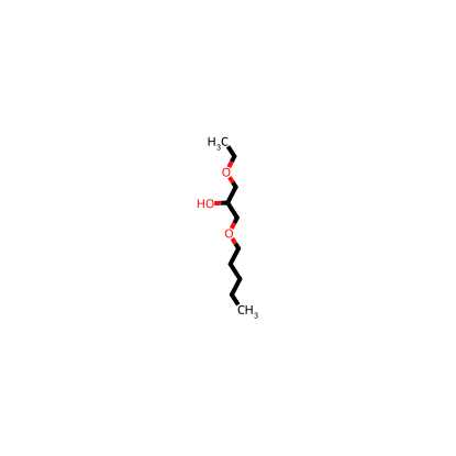 CCCCCOCC(O)COCC